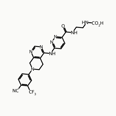 N#Cc1ccc(N2CCc3c(ncnc3Nc3ccc(C(=O)NCCNC(=O)O)nn3)C2)cc1C(F)(F)F